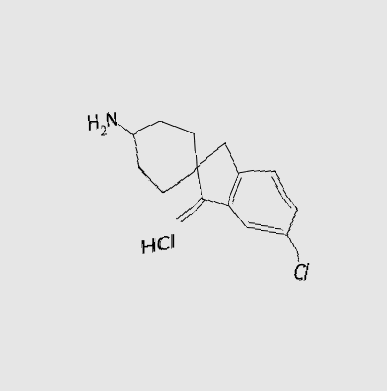 C=C1c2cc(Cl)ccc2CC12CCC(N)CC2.Cl